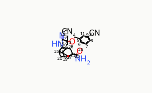 CC(C)(OCc1cccc(C#N)c1)/C(=N\C#N)NC1C2CC3CC1CC(C(N)=O)(C3)C2